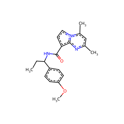 CCC(NC(=O)c1ccn2c(C)cc(C)nc12)c1ccc(OC)cc1